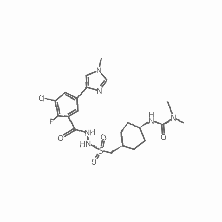 CN(C)C(=O)N[C@H]1CC[C@@H](CS(=O)(=O)NNC(=O)c2cc(-c3cn(C)cn3)cc(Cl)c2F)CC1